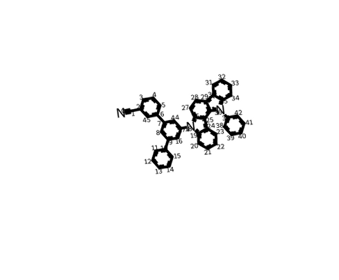 N#Cc1cccc(-c2cc(-c3ccccc3)cc(-n3c4ccccc4c4c3ccc3c5ccccc5n(-c5ccccc5)c34)c2)c1